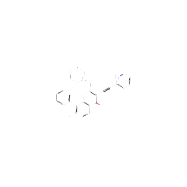 CC1CCN(Cc2oc3c(-c4ccccc4)c(Cl)ccc3c(=O)c2C#Cc2ccccn2)CC1